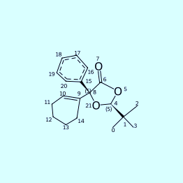 CC(C)(C)[C@@H]1OC(=O)[C@](C2=CCCCC2)(c2ccccc2)O1